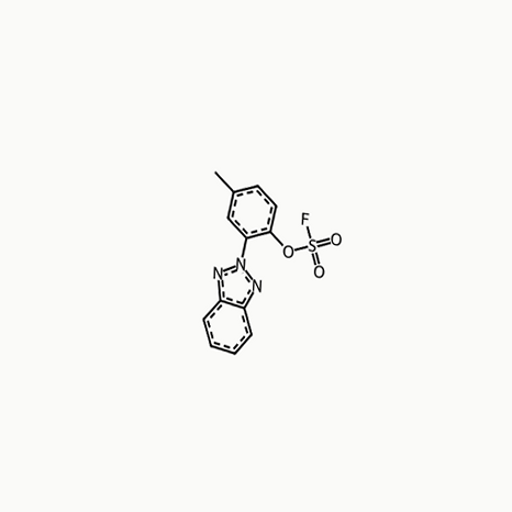 Cc1ccc(OS(=O)(=O)F)c(-n2nc3ccccc3n2)c1